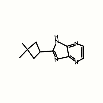 CC1(C)CC(c2nc3nccnc3[nH]2)C1